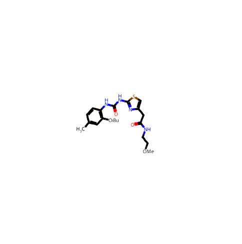 COCCNC(=O)Cc1csc(NC(=O)Nc2ccc(C)cc2OCC(C)C)n1